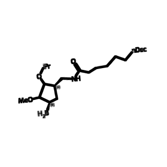 B[C@@H]1C[C@H](CNC(=O)CCCCCCCCCCCCCCC)C(OC(C)C)C1OC